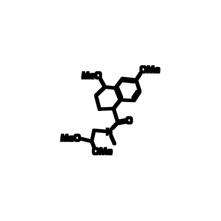 COc1ccc2c(c1)C(OC)CCC2C(=O)N(C)CC(OC)OC